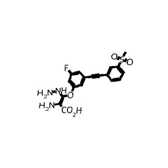 CS(=O)(=O)c1cccc(C#Cc2cc(F)cc(O/C(NN)=C(/N)C(=O)O)c2)c1